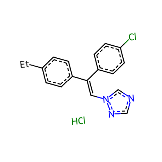 CCc1ccc(C(=Cn2cncn2)c2ccc(Cl)cc2)cc1.Cl